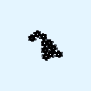 C1=CC(c2cccc(-c3cccc(-c4ccccc4)c3)c2)CC=C1c1ccc(-c2ccccc2)cc1-n1c2ccccc2c2ccc3c(c4ccccc4n3-c3ccccc3)c21